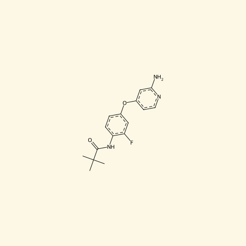 CC(C)(C)C(=O)Nc1ccc(Oc2ccnc(N)c2)cc1F